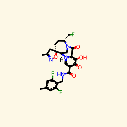 CC1=NO[C@@]2(CC[C@H](CF)N3C[C@H]2n2cc(C(=O)NCc4c(F)cc(C)cc4F)c(=O)c(O)c2C3=O)C1